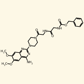 COc1cc2nc(N3CCN(C(=O)CNC(=O)CNC(=O)OCc4ccccc4)CC3)nc(N)c2cc1OC